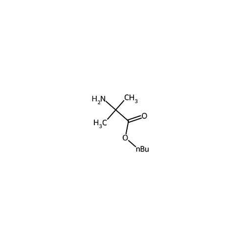 CCCCOC(=O)C(C)(C)N